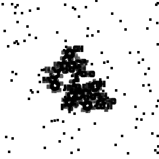 CCCC[C@@H](C(=O)N1CCNC[C@@H]1C(=O)N[C@H](C=O)CC(=O)O)N(C)C(=O)[C@H](Cc1ccccc1)N(C)C(=O)[C@H](Cc1cc(F)c(F)c(F)c1)NC(=O)CSC[C@@H](C=O)NC(=O)[C@H](CC(C)C)NC(=O)[C@H](Cc1ccc(O)cc1)NC(=O)[C@@H](N)Cc1c[nH]c2ccccc12